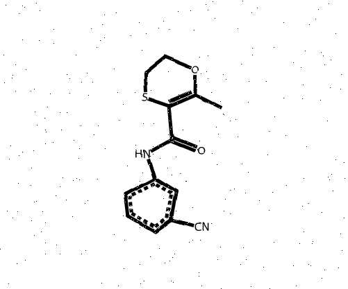 CC1=C(C(=O)Nc2cccc(C#N)c2)SCCO1